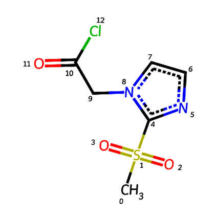 CS(=O)(=O)c1nccn1CC(=O)Cl